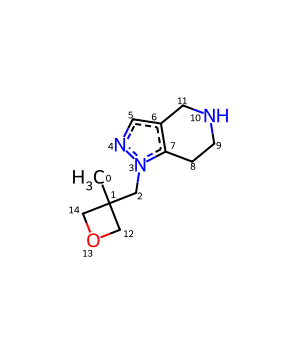 CC1(Cn2ncc3c2CCNC3)COC1